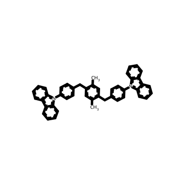 Cc1cc(Cc2ccc(-n3c4ccccc4c4ccccc43)cc2)c(C)cc1Cc1ccc(-n2c3ccccc3c3ccccc32)cc1